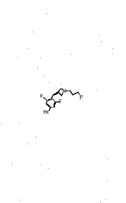 FCCCN1CC(=Cc2c(F)cc(Br)cc2F)C1